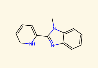 Cn1c(C2=CC=CCN2)nc2ccccc21